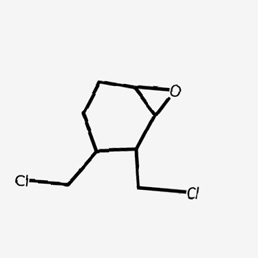 ClCC1CCC2OC2C1CCl